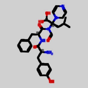 CC(C)C[C@@](B(O)O)(N1C=CN=CC1)N(C=O)C(=O)[C@H](Cc1ccccc1)NC(=O)[C@@H](N)Cc1ccc(O)cc1